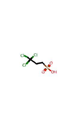 O=S(=O)(O)CCC(Cl)(Cl)Cl